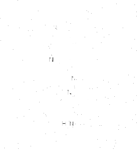 Nc1ccn(-c2ccncn2)n1